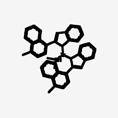 Cc1ccc(C2=Cc3ccccc3[CH]2[Zr]([CH]2C(c3ccc(C)c4ccccc34)=Cc3ccccc32)[SiH](C)C)c2ccccc12